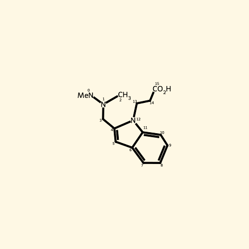 CNN(C)Cc1cc2ccccc2n1CCC(=O)O